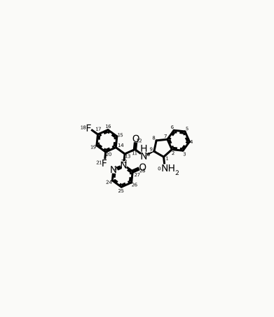 NC1c2ccccc2C[C@@H]1NC(=O)C(c1ccc(F)cc1F)n1ncccc1=O